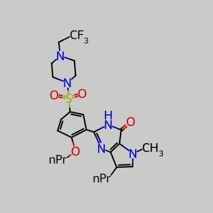 CCCOc1ccc(S(=O)(=O)N2CCN(CC(F)(F)F)CC2)cc1-c1nc2c(CCC)cn(C)c2c(=O)[nH]1